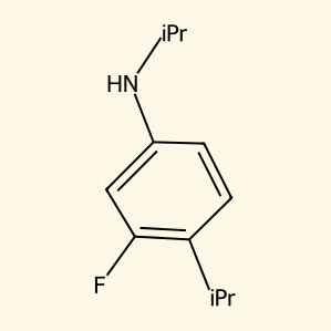 CC(C)Nc1ccc(C(C)C)c(F)c1